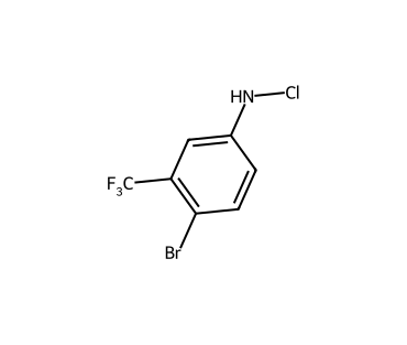 FC(F)(F)c1cc(NCl)ccc1Br